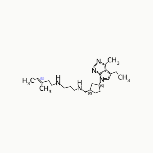 C/C=C(\C)CCNCCCNC[C@@H]1CC[C@H](n2cc(CC)c3c(C)ncnc32)C1